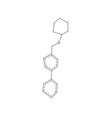 c1ccc(-c2ccc(COC3CCCCC3)cc2)cc1